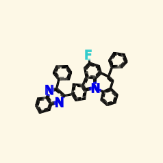 Fc1cc2c3c(c1)c1cc(-c4nc5ccccc5nc4-c4ccccc4)ccc1n3-c1ccccc1C=C2c1ccccc1